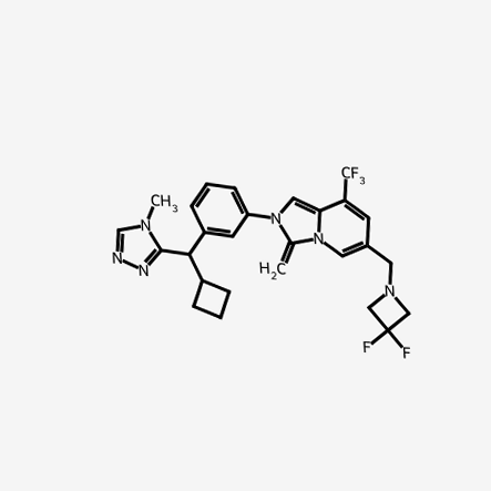 C=C1N2C=C(CN3CC(F)(F)C3)C=C(C(F)(F)F)C2=CN1c1cccc(C(c2nncn2C)C2CCC2)c1